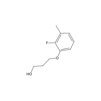 Cc1[c]ccc(OCCCO)c1F